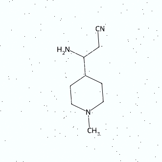 CN1CCC(C(N)CC#N)CC1